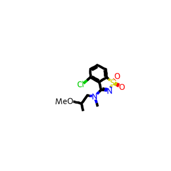 COC(C)CN(C)C1=NS(=O)(=O)c2cccc(Cl)c21